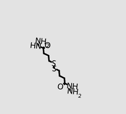 NNC(=O)CCCSSCCCC(=O)NN